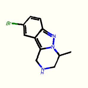 CC1CNCc2c3cc(Br)ccc3nn21